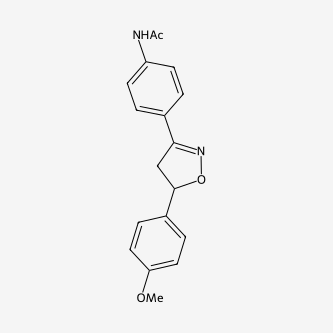 COc1ccc(C2CC(c3ccc(NC(C)=O)cc3)=NO2)cc1